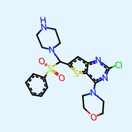 O=S(=O)(c1ccccc1)C(c1cc2nc(Cl)nc(N3CCOCC3)c2s1)N1CCNCC1